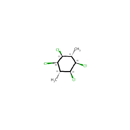 C[C@@H]1[C@@H](Cl)[C@@H](Cl)[C@H](C)[C@@H](Cl)[C@H]1Cl